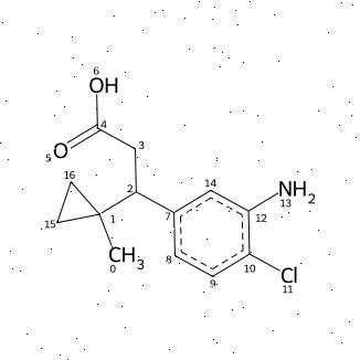 CC1(C(CC(=O)O)c2ccc(Cl)c(N)c2)CC1